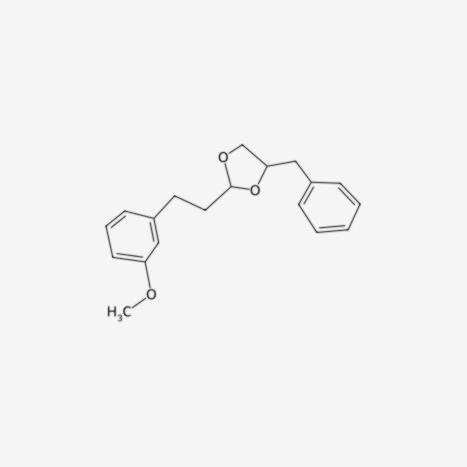 COc1cccc(CCC2OCC(Cc3ccccc3)O2)c1